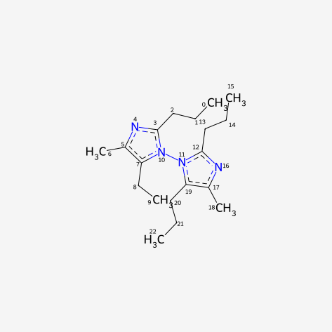 CCCc1nc(C)c(CC)n1-n1c(CCC)nc(C)c1CCC